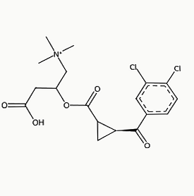 C[N+](C)(C)CC(CC(=O)O)OC(=O)C1C[C@@H]1C(=O)c1ccc(Cl)c(Cl)c1